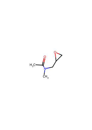 CC(=O)N(C)CC1CO1